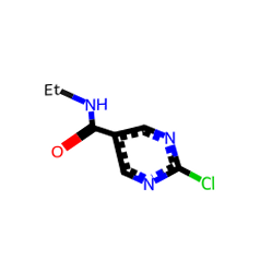 CCNC(=O)c1cnc(Cl)nc1